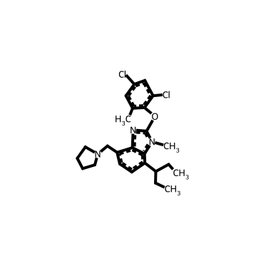 CCC(CC)c1ccc(CN2CCCC2)c2nc(Oc3c(C)cc(Cl)cc3Cl)n(C)c12